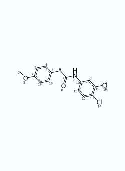 COc1ccc(CC(=O)Nc2ccc(Cl)c(Cl)c2)cc1